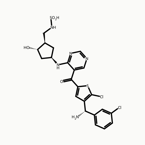 N[C@@H](c1cccc(Cl)c1)c1cc(C(=O)c2cncnc2N[C@H]2C[C@H](O)[C@@H]([CH]NS(=O)(=O)O)C2)sc1Cl